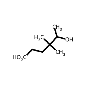 CC(O)C(C)(C)CCC(=O)O